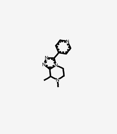 CC1c2nnc(-c3ccncc3)n2CCN1C